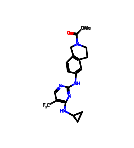 COC(=O)N1CCc2cc(Nc3ncc(C(F)(F)F)c(NC4CC4)n3)ccc2C1